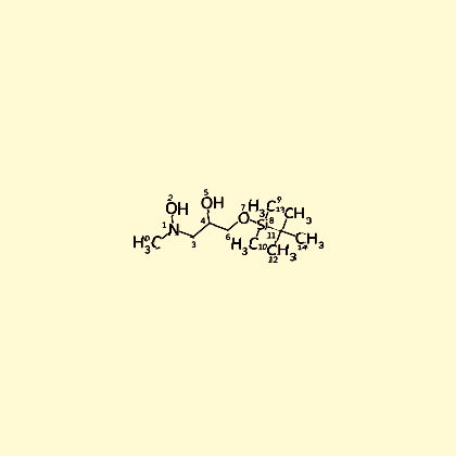 CN(O)CC(O)CO[Si](C)(C)C(C)(C)C